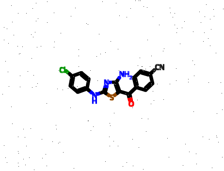 N#Cc1ccc(C(=O)c2sc(Nc3ccc(Cl)cc3)nc2N)cc1